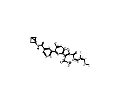 C=C(NC12CC(C1)C2)c1cccc(-c2cc3c(C(=O)NC)c(C(=C)/C=C\C(F)=C/CC)oc3cc2C)c1